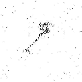 CCCCCCCCCCOCCOCCOP(=O)(O)OCC[N+](C)(C)C